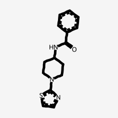 O=C(NC1CCN(c2nccs2)CC1)c1ccccc1